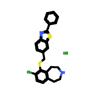 Cl.Clc1ccc2c(c1SCc1ccc3nc(-c4ccccc4)sc3c1)CCNCC2